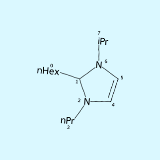 CCCCCCC1N(CCC)C=CN1C(C)C